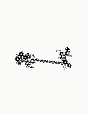 COc1nc(Nc2cc(S(C)(=O)=O)ccc2N[C@H](c2ccccc2Cl)c2cccc3c2OC(F)(F)O3)nc(N2CCN(CCOCCOCCOCCOCCOCCOc3cc(-c4scnc4C)ccc3CNC(=O)C3C[C@@H](O)CN3C(=O)C(CC(=O)C3(F)CC3)C(C)(C)C)CC2)n1